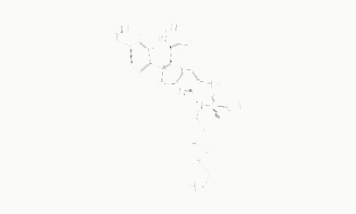 CC[CH]CCCCN(c1nc2oc(-c3ccc(CC)cc3)c(C(=O)NC)c2cc1I)S(C)(=O)=O